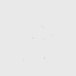 Fc1cc(F)cc(C[C@H](NS)c2nc(Br)ccc2Br)c1